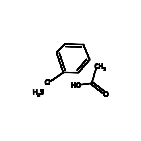 CC(=O)O.Clc1ccccc1.S